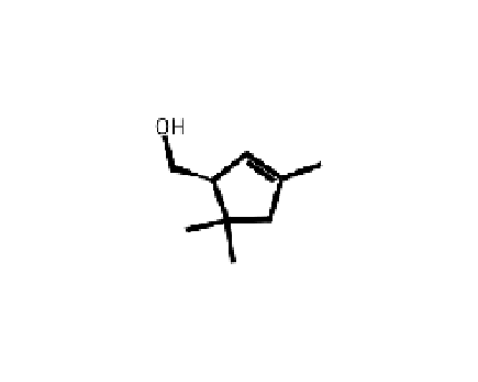 CC1=C[C@H](CO)C(C)(C)C1